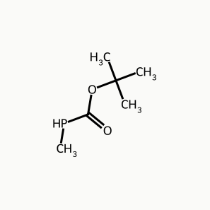 CPC(=O)OC(C)(C)C